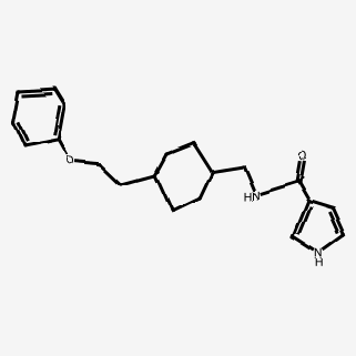 O=C(NCC1CCC(CCOc2ccccc2)CC1)c1cc[nH]c1